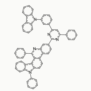 c1ccc(-c2cc(-c3cccc(-n4c5ccccc5c5ccccc54)c3)nc(-c3ccc4c(c3)nc(-c3ccccc3)c3c4ccc4c3c3ccccc3n4-c3ccccc3)n2)cc1